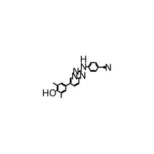 Cc1cc(-c2ccc3nc(Nc4ccc(C#N)cc4)nn3c2)cc(C)c1O